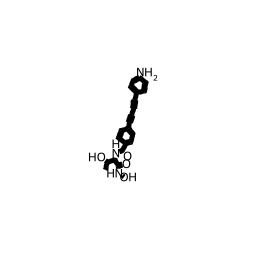 CC(O)C(NC(=O)c1ccc(C#CC#Cc2ccc(N)cc2)cc1)C(=O)NO